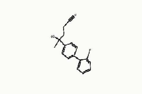 CC(O)(CCC#N)c1ccc(-c2ccccc2F)cc1